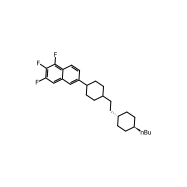 CCCC[C@H]1CC[C@H](CCC2CCC(c3ccc4c(F)c(F)c(F)cc4c3)CC2)CC1